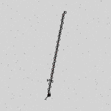 CC(=O)CCOCCOCCOCCOCCOCCOCCOCCOCCOCCOCCOCCOCCOCCOCCOCCOCCOCCOCCOCCOCCOCCOCCOCCOCCNC(=O)CCOCCOCCOCCOCc1cn(CCCCC(C)C)nn1